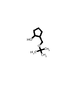 CC(C)(C)OCC1CCCC1O